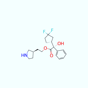 O=C(OCC[C@H]1CCNC1)[C@](O)(c1ccccc1)[C@@H]1CCC(F)(F)C1